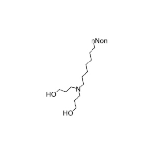 CCCCCCCCCCCCCCCCN(CCCO)CCCO